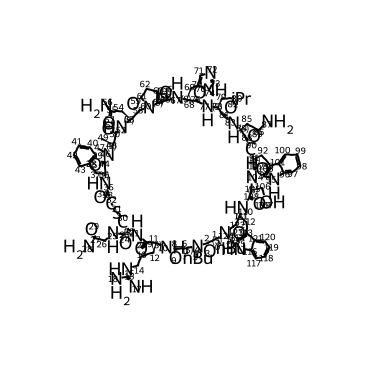 CCCC[C@H]1C(=O)N(C)[C@@H](CCCC)C(=O)N[C@@H](CCCNC(=N)N)C(=O)N[C@H](C(=O)NCC(N)=O)CSCC(=O)N[C@@H](Cc2ccccc2)C(=O)N(C)[C@@H](C)C(=O)N[C@@H](CC(N)=O)C(=O)N2CCC[C@H]2C(=O)N[C@@H](Cc2cnc[nH]2)C(=O)N[C@@H](CC(C)C)C(=O)N[C@@H](CCN)C(=O)C[C@@H](Cc2c[nH]c3ccccc23)C(=O)N[C@@H](CO)C(=O)N[C@@H](Cc2c[nH]c3ccccc23)C(=O)N1C